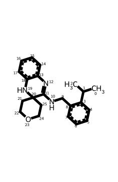 CC(C)c1ccccc1CNC1=Nc2ccccc2NC12CCOCC2